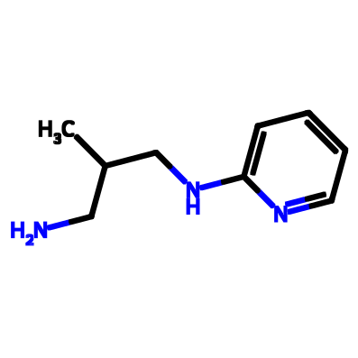 CC(CN)CNc1ccccn1